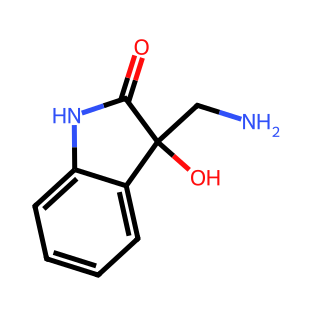 NCC1(O)C(=O)Nc2ccccc21